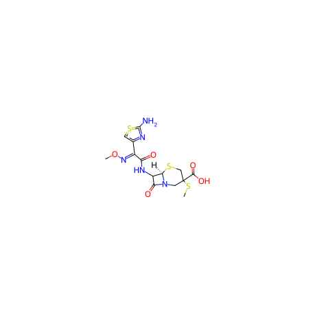 CON=C(C(=O)NC1C(=O)N2CC(SC)(C(=O)O)CS[C@H]12)c1csc(N)n1